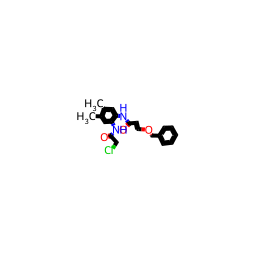 Cc1cc(NC(=O)C=COCc2ccccc2)c(NC(=O)CCl)cc1C